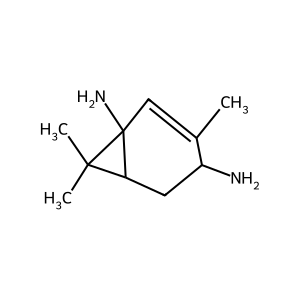 CC1=CC2(N)C(CC1N)C2(C)C